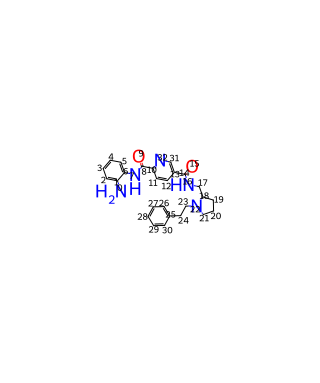 Nc1ccccc1NC(=O)c1ccc(C(=O)NCC2CCCN2CCc2ccccc2)cn1